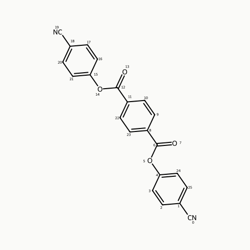 N#Cc1ccc(OC(=O)c2ccc(C(=O)Oc3ccc(C#N)cc3)cc2)cc1